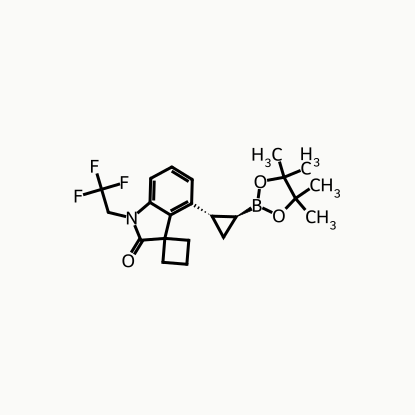 CC1(C)OB([C@H]2C[C@@H]2c2cccc3c2C2(CCC2)C(=O)N3CC(F)(F)F)OC1(C)C